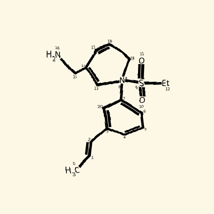 CC=Cc1cccc([N+]2(S(=O)(=O)CC)C=C(CN)C=CC2)c1